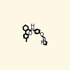 Cc1ccc(C2=C(C(=O)Nc3ccc(OCCn4cccn4)cc3)CCCC2)cc1